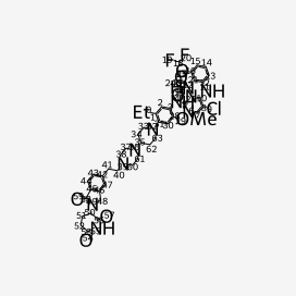 CCc1cc(Nc2ncc(Cl)c(Nc3cccc(OC(F)F)c3NS(C)(=O)=O)n2)c(OC)cc1N1CCC(N2CCN(CCc3ccc4c(c3)CN(C3CCC(=O)NC3=O)C4=O)CC2)CC1